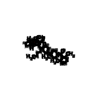 CCCCC1CN(CC2C[C@H]3CC[C@@H](C2)N3C(=O)OC)C(=O)OC12CCN(C1(C)CCN(C(=O)c3c(C)ncnc3C)CC1)CC2